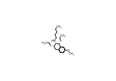 CCCCCN[C@H]1[C@@H](CCC)Cc2ccc(OC)cc2[C@H]1CCC